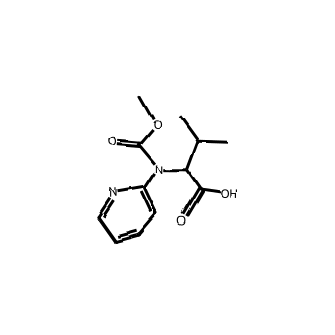 COC(=O)N(c1ccccn1)C(C(=O)O)C(C)C